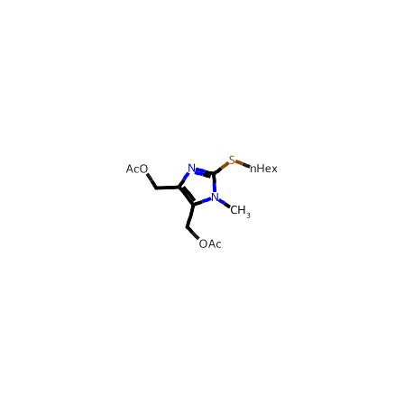 CCCCCCSc1nc(COC(C)=O)c(COC(C)=O)n1C